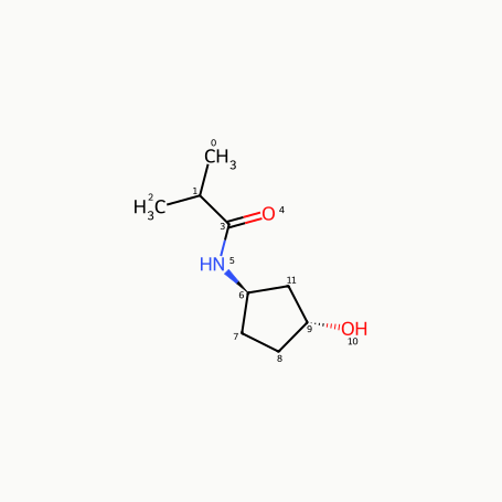 CC(C)C(=O)N[C@@H]1CC[C@@H](O)C1